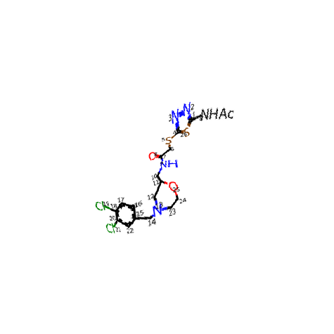 CC(=O)Nc1nnc(SCC(=O)NCC2CN(Cc3ccc(Cl)c(Cl)c3)CCO2)s1